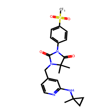 CC1(Nc2cc(CN3C(=O)N(c4ccc(S(=O)(=O)C(F)(F)F)cc4)C(=O)C3(C)C)ccn2)CC1